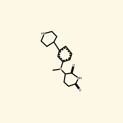 CN(c1cccc(C2CCNCC2)c1)C1CCC(=O)NC1=O